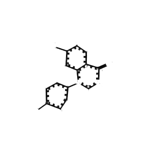 Cc1ccc(-n2cnc(=S)c3ccc(Cl)cc32)cc1